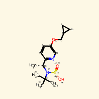 C[C@H](c1ccc(OCC2CC2)cn1)N([S@](=O)O)C(C)(C)C